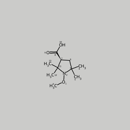 CON1C(C)(C)C[C@H](C(=O)O)C1(C)C